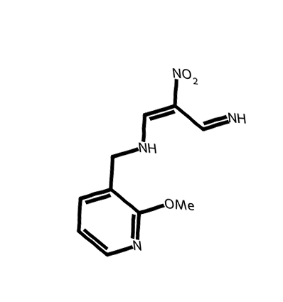 COc1ncccc1CN/C=C(\C=N)[N+](=O)[O-]